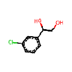 OCC(O)c1cccc(Cl)c1